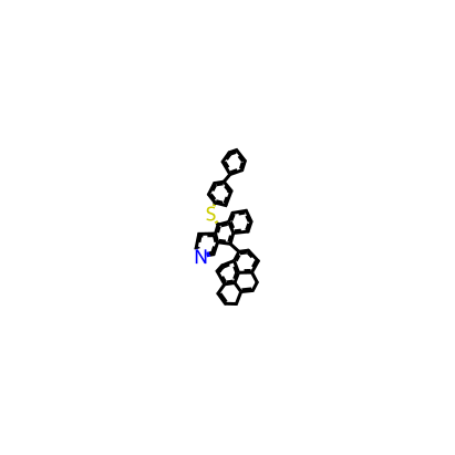 C1=Cc2ccc3c(-c4c5ccccc5c(Sc5ccc(-c6ccccc6)cc5)c5ccncc45)ccc4c3c2C(=CC4)C1